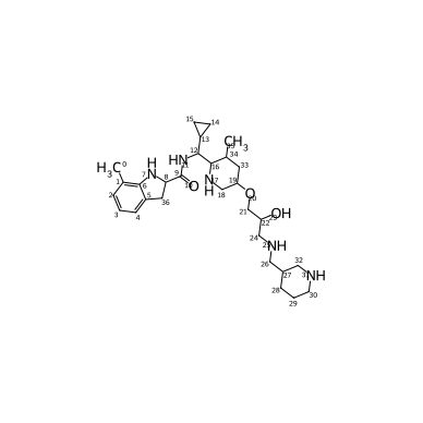 Cc1cccc2c1NC(C(=O)NC(C1CC1)C1NCC(OCC(O)CNCC3CCCNC3)CC1C)C2